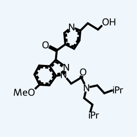 COc1ccc2c(C(=O)c3ccc(CCO)nc3)nn(CC(=O)N(CCC(C)C)CCC(C)C)c2c1